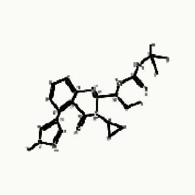 CC[C@H](OC(=O)NC(C)(C)C)c1nc2cccc(-c3cnn(C)c3)c2c(=O)n1C1CC1